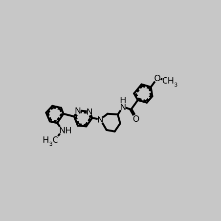 CNc1ccccc1-c1ccc(N2CCCC(NC(=O)c3ccc(OC)cc3)C2)nn1